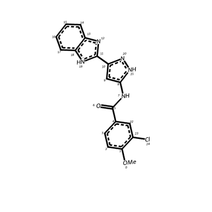 COc1ccc(C(=O)Nc2cc(-c3nc4ccccc4[nH]3)n[nH]2)cc1Cl